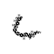 Cc1c(NC(=O)N2CC(OC(C)C)C2)cc(F)cc1-c1ccnc(Nc2ccc(N3CCN(CC4CCN(CC(=O)Nc5cccc(NC6CCC(=O)NC6=O)c5)CC4)CC3)cc2)n1